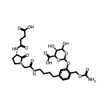 NC(=O)OCc1ccc(CCCCNC(=O)CN2CC[C@H](NC(=O)CCC(=O)O)C2=O)cc1OC1OC(O)[C@H](O)C(C(=O)O)O1